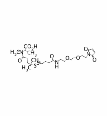 CC(C(=O)O)N(C)C(=O)CCC(C)(C)SSCCCC(=O)NCCOCCOCCN1C(=O)C=CC1=O